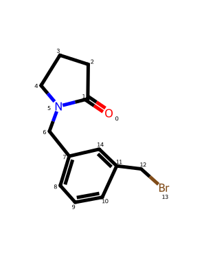 O=C1CCCN1Cc1cccc(CBr)c1